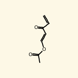 C=CC(=O)C=COC(C)=O